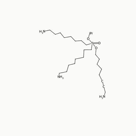 CC(C)[O][Ti](=[O])([CH2]CCCCCCCN)([CH2]CCCCCCCN)[O]CCCCCCCCN